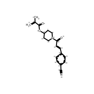 C=C(C)C(=O)OC1CCN(C(=O)/C=C/c2ccc(C#N)cc2)CC1